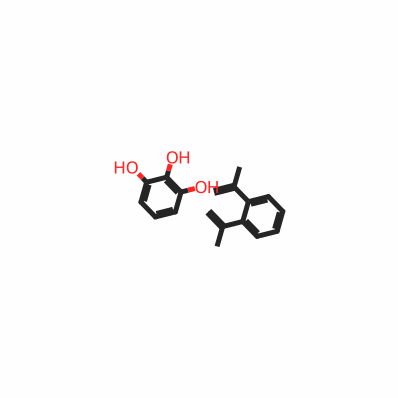 C=C(C)c1ccccc1C(=C)C.Oc1cccc(O)c1O